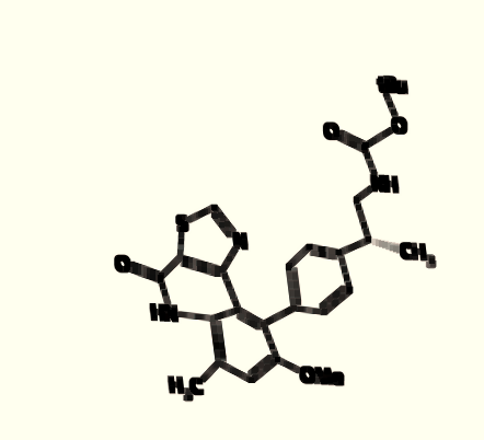 COc1cc(C)c2[nH]c(=O)c3scnc3c2c1-c1ccc([C@@H](C)CNC(=O)OC(C)(C)C)cc1